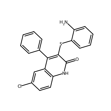 Nc1ccccc1Sc1c(-c2ccccc2)c2cc(Cl)ccc2[nH]c1=O